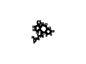 CN(C)CC/N=c1/c2ccccc2ccc2c(Cl)cccc12